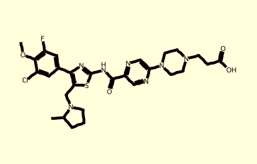 COc1c(F)cc(-c2nc(NC(=O)c3cnc(N4CCN(CCC(=O)O)CC4)cn3)sc2CN2CCCC2C)cc1Cl